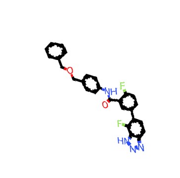 O=C(Nc1ccc(COCc2ccccc2)cc1)c1cc(-c2ccc3nn[nH]c3c2F)ccc1F